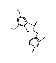 Nc1cc(Br)cc2c1CN(Cc1ccc(F)cc1F)C2=O